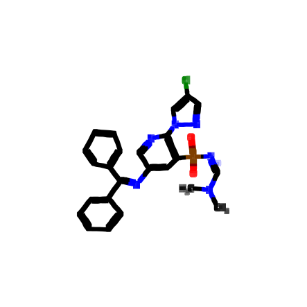 CN(C)/C=N\S(=O)(=O)c1cc(N=C(c2ccccc2)c2ccccc2)cnc1-n1cc(Cl)cn1